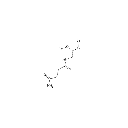 CCOC(CNC(=O)CCC(N)=O)OCC